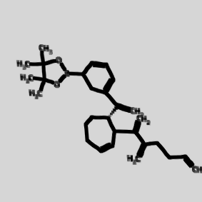 C=CCCC(=C)C(=C)C1C=CCCC[C@@H]1C(=C)C1=CC=CC(B2OC(C)(C)C(C)(C)O2)C1